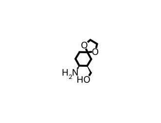 N[C@H]1CCC2(C[C@H]1CO)OCCO2